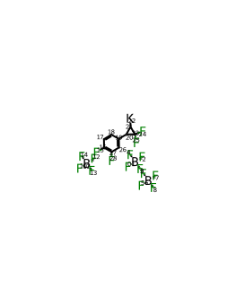 F[B-](F)(F)F.F[B-](F)(F)F.F[B-](F)(F)F.Fc1ccc(C2[CH]([K])C2(F)F)cc1F